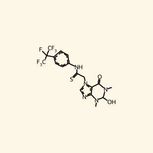 CN1C(=O)c2c(ncn2CC(=S)Nc2ccc(C(F)(C(F)(F)F)C(F)(F)F)cc2)N(C)C1O